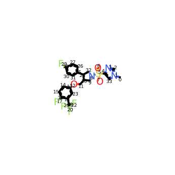 Cn1cnc(S(=O)(=O)N2CC(COc3ccc(F)c(C(F)(F)F)c3)C(c3ccc(F)cc3)C2)c1